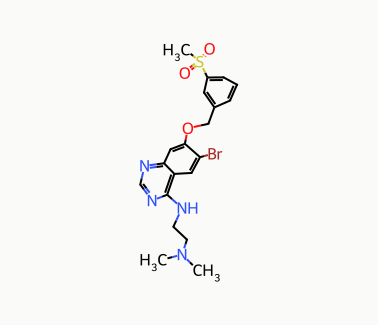 CN(C)CCNc1ncnc2cc(OCc3cccc(S(C)(=O)=O)c3)c(Br)cc12